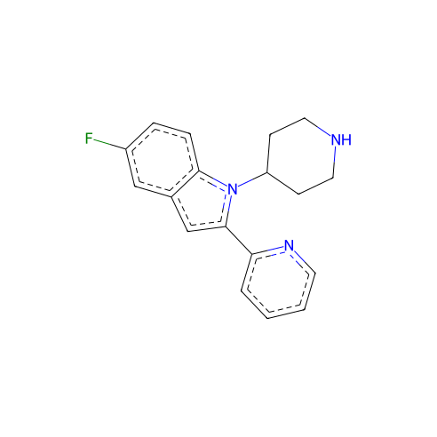 Fc1ccc2c(c1)cc(-c1ccccn1)n2C1CCNCC1